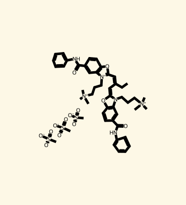 CCC(=Cc1oc2ccc(C(=O)Nc3ccccc3)cc2[n+]1CCC[N+](C)(C)C)C=C1Oc2ccc(C(=O)Nc3ccccc3)cc2N1CCC[N+](C)(C)C.CS(=O)(=O)[O-].CS(=O)(=O)[O-].CS(=O)(=O)[O-]